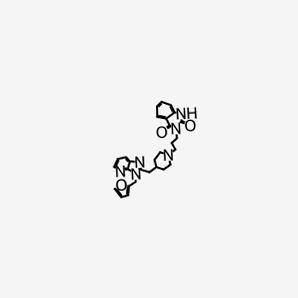 O=c1[nH]c2ccccc2c(=O)n1CCCN1CCC(Cc2nc3cccnc3n2Cc2ccco2)CC1